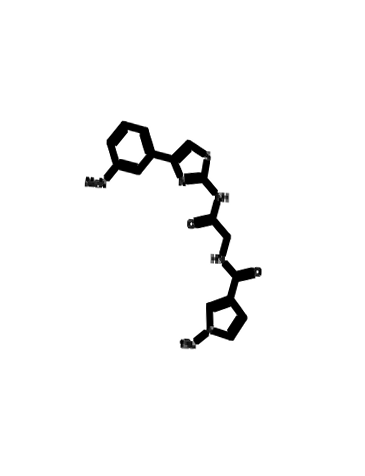 CNc1cccc(-c2csc(NC(=O)CNC(=O)c3ccn(C(C)(C)C)c3)n2)c1